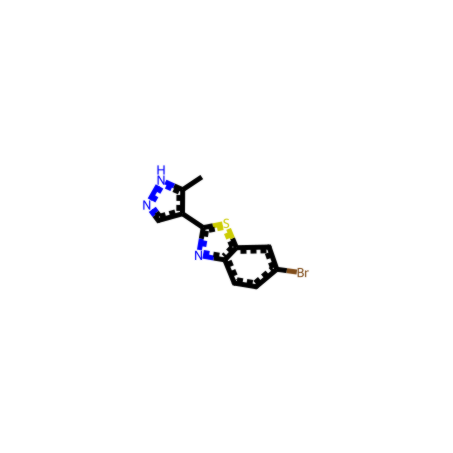 Cc1[nH]ncc1-c1nc2ccc(Br)cc2s1